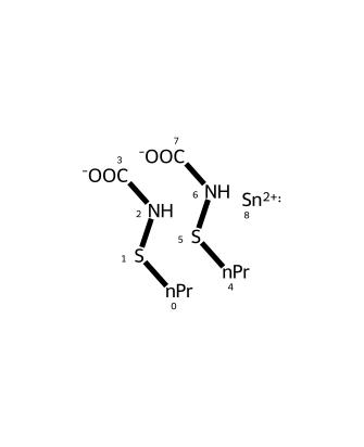 CCCSNC(=O)[O-].CCCSNC(=O)[O-].[Sn+2]